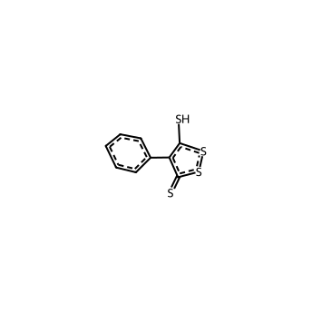 S=c1ssc(S)c1-c1ccccc1